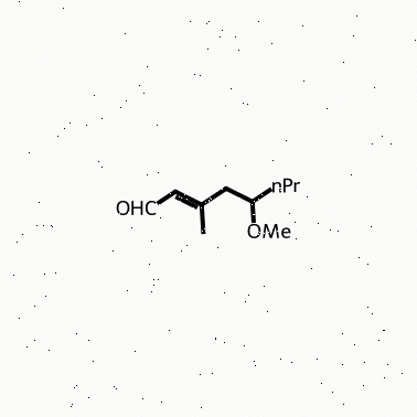 CCCC(C/C(C)=C/C=O)OC